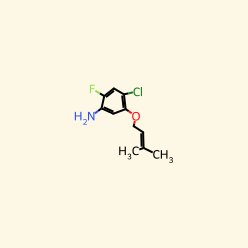 CC(C)=CCOc1cc(N)c(F)cc1Cl